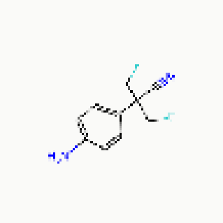 N#CC(CF)(CF)c1ccc(N)cc1